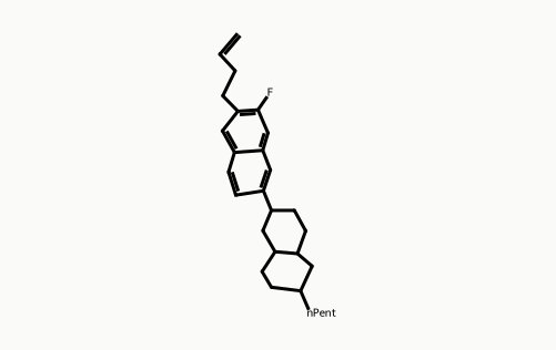 C=CCCc1cc2ccc(C3CCC4CC(CCCCC)CCC4C3)cc2cc1F